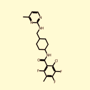 Cc1ccnc(NCC2CCC(NC(=O)c3c(F)c(C)c(F)c(F)c3Cl)CC2)n1